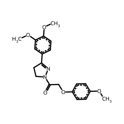 COc1ccc(OCC(=O)N2CCC(c3ccc(OC)c(OC)c3)=N2)cc1